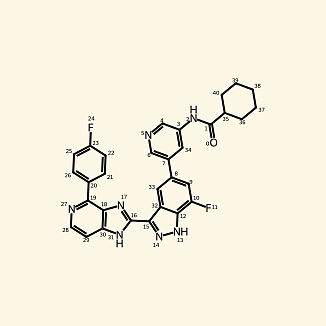 O=C(Nc1cncc(-c2cc(F)c3[nH]nc(-c4nc5c(-c6ccc(F)cc6)nccc5[nH]4)c3c2)c1)C1CCCCC1